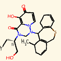 CC(C)C[C@@H](CO)N1CN(C2C3=C(C=CCC3)SCC3=C2C(C)CC=C3)n2ccc(=O)c(O)c2C1=O